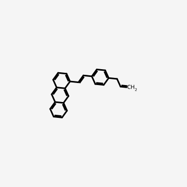 C=CCc1ccc(C=Cc2cccc3cc4ccccc4cc23)cc1